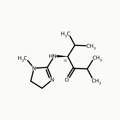 CC(C)C(=O)[C@@H](NC1=NCCN1C)C(C)C